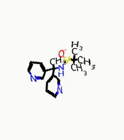 CC(N[S+]([O-])C(C)(C)C)(c1cccnc1)c1cccnc1